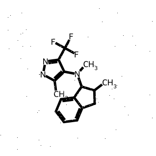 CC1=C(N(C)C2c3ccccc3CC2C)C(C(F)(F)F)=N[N]1